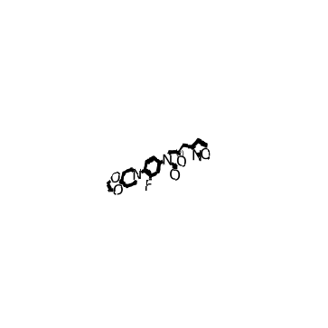 O=C1O[C@H](Cc2ccon2)CN1c1ccc(N2CCC3(CC2)OCCO3)c(F)c1